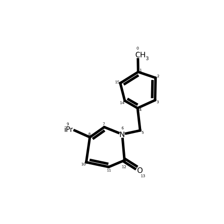 Cc1ccc(Cn2cc(C(C)C)ccc2=O)cc1